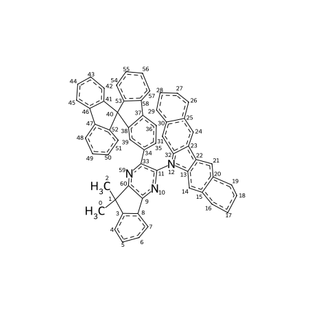 CC1(C)c2ccccc2-c2nc(-n3c4cc5ccccc5cc4c4cc5ccccc5cc43)c(-c3ccc4c(c3)C3(c5ccccc5-c5ccccc53)c3ccccc3-4)nc21